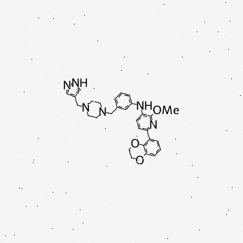 COc1nc(-c2cccc3c2OCCO3)ccc1Nc1cccc(CN2CCN(Cc3cn[nH]c3)CC2)c1